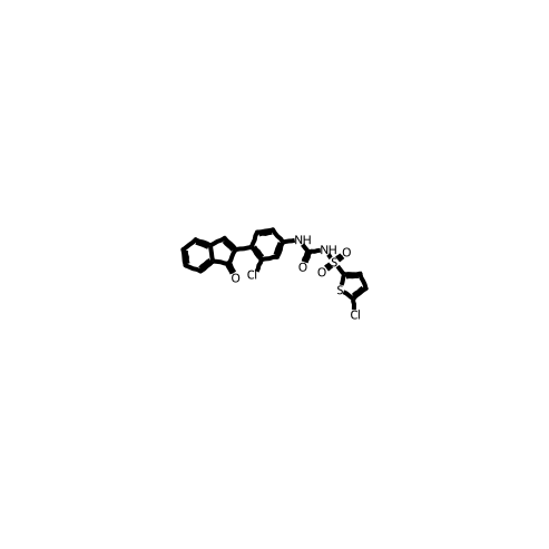 O=C(Nc1ccc(C2=Cc3ccccc3C2=O)c(Cl)c1)NS(=O)(=O)c1ccc(Cl)s1